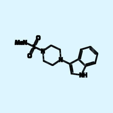 CNS(=O)(=O)N1CCN(c2c[nH]c3ccccc23)CC1